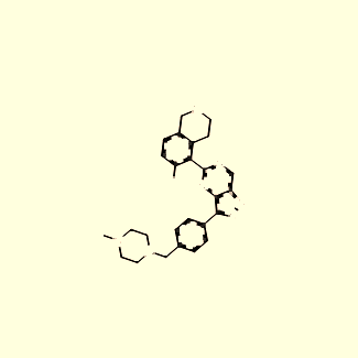 CN1CCN(Cc2ccc(-c3n[nH]c4cnc(-c5c(F)ccc6c5CCNC6)nc34)cc2)CC1